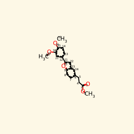 COC(=O)CCc1ccc2oc(-c3ccc(OC)c(OC)c3)cc2c1